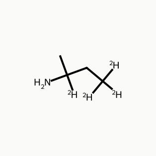 [2H]C([2H])([2H])CC([2H])(C)N